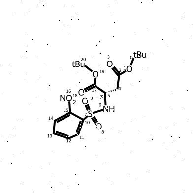 CC(C)(C)OC(=O)C[C@H](NS(=O)(=O)c1ccccc1[N+](=O)[O-])C(=O)OC(C)(C)C